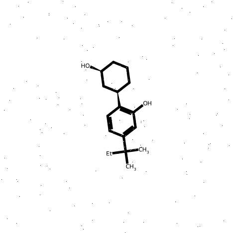 CCC(C)(C)c1ccc([C@@H]2CCC[C@H](O)C2)c(O)c1